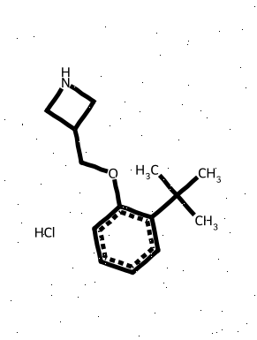 CC(C)(C)c1ccccc1OCC1CNC1.Cl